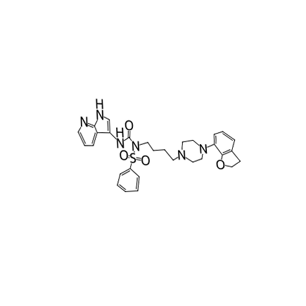 O=C(Nc1c[nH]c2ncccc12)N(CCCCN1CCN(c2cccc3c2OCC3)CC1)S(=O)(=O)c1ccccc1